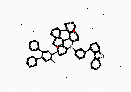 CC1C=C(c2ccccc2)C(c2ccccc2)=CC1c1ccc(N(c2cccc(-c3cccc4oc5ccccc5c34)c2)c2ccccc2-c2cccc3cccc(-c4ccccc4)c23)cc1